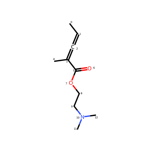 CC=C=C(C)C(=O)OCCN(C)C